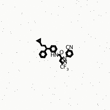 N#Cc1cccc(-n2nc(C(F)(F)F)cc2C(=O)Nc2cccc(C(CCC3CC3)c3ccccc3)c2)c1